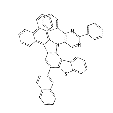 c1ccc(-c2ncc(-n3c4c(cc(-c5ccc6ccccc6c5)c5sc6ccccc6c54)c4c5ccccc5c5ccccc5c43)c(-c3ccccc3)n2)cc1